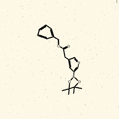 CC1(C)OB(c2cncc(CC(=O)OCc3ccccc3)c2)OC1(C)C